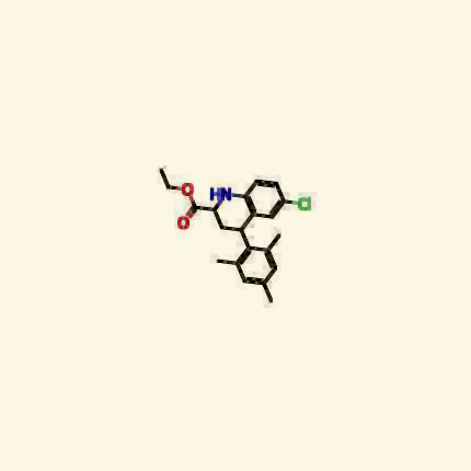 CCOC(=O)C1CC(c2c(C)cc(C)cc2C)c2cc(Cl)ccc2N1